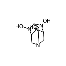 ON1C2CN3CC1N(O)C(C3)N2O